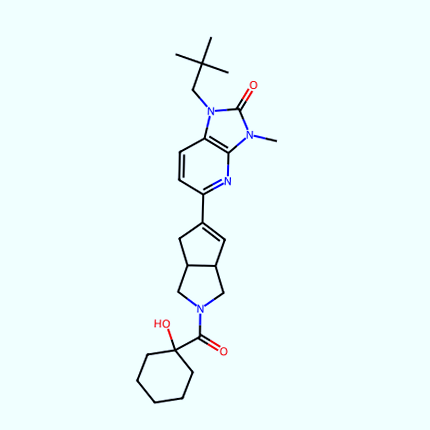 Cn1c(=O)n(CC(C)(C)C)c2ccc(C3=CC4CN(C(=O)C5(O)CCCCC5)CC4C3)nc21